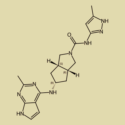 Cc1nc(N[C@@H]2C[C@@H]3CN(C(=O)Nc4cc(C)[nH]n4)C[C@@H]3C2)c2cc[nH]c2n1